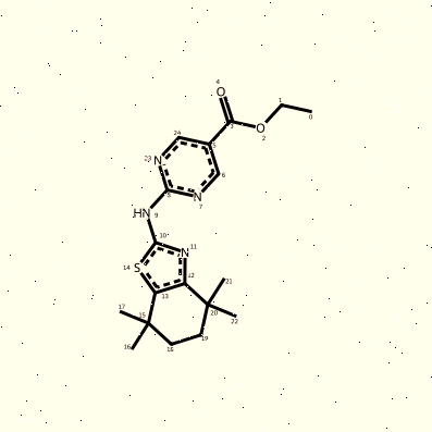 CCOC(=O)c1cnc(Nc2nc3c(s2)C(C)(C)CCC3(C)C)nc1